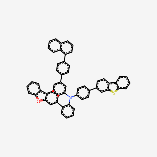 c1cc(-c2ccc(-c3cccc4ccccc34)cc2)cc(N(c2ccc(-c3ccc4c(c3)sc3ccccc34)cc2)c2ccccc2-c2ccc3c(c2)oc2ccccc23)c1